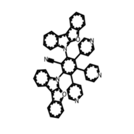 N#Cc1c(-n2c3ccccc3c3c4ccccc4oc32)c(-c2ccncc2)c(-c2ccncc2)c(-c2ccncc2)c1-n1c2ccccc2c2c3ccccc3oc21